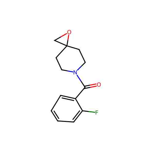 O=C(c1ccccc1F)N1CCC2(CC1)CO2